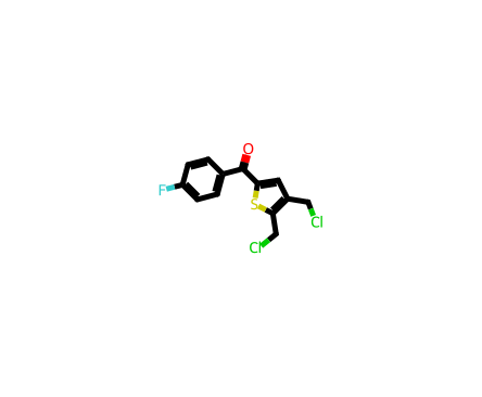 O=C(c1ccc(F)cc1)c1cc(CCl)c(CCl)s1